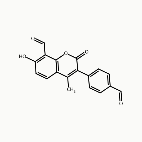 Cc1c(-c2ccc(C=O)cc2)c(=O)oc2c(C=O)c(O)ccc12